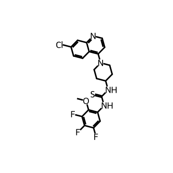 COc1c(NC(=S)NC2CCN(c3ccnc4cc(Cl)ccc34)CC2)cc(F)c(F)c1F